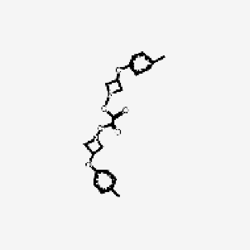 Cc1ccc(OC2CN(OC(=O)C(=O)ON3CC(Oc4ccc(C)cc4)C3)C2)cc1